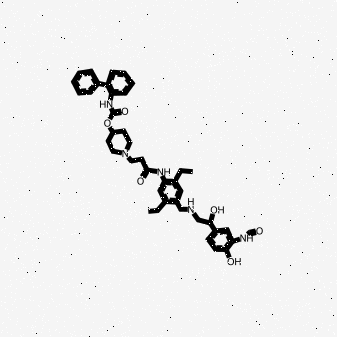 CCc1cc(NC(=O)CCN2CCC(OC(=O)Nc3ccccc3-c3ccccc3)CC2)c(CC)cc1CNCC(O)c1ccc(O)c(NC=O)c1